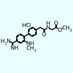 CNc1cc(C(=N)N)ccc1-c1ccc(CC(=O)NCC(=O)OC)cc1.Cl